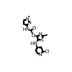 Cc1nc(OC(=O)Nc2ccn(C)n2)c(Nc2ccnc(Cl)c2)s1